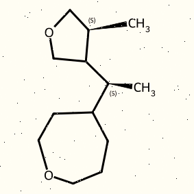 C[C@@H](C1CCCOCC1)C1COC[C@H]1C